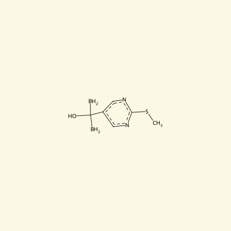 BC(B)(O)c1cnc(SC)nc1